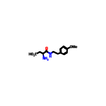 COc1ccc(CCNC(=O)[C@@H](N)CC(=O)O)cc1